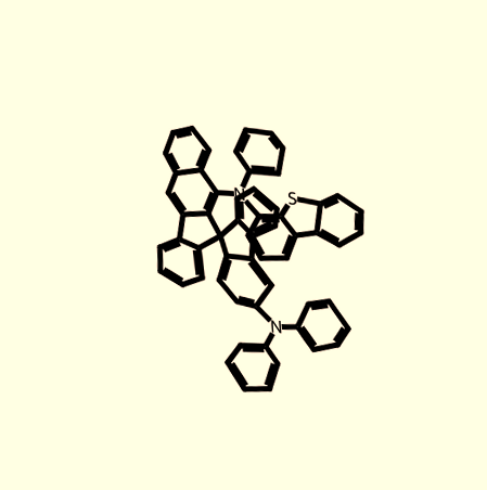 c1ccc(N(c2ccccc2)c2ccc3c(c2)-c2ccccc2C32c3ccccc3-c3cc4ccccc4c(N(c4ccccc4)c4cccc5c4sc4ccccc45)c32)cc1